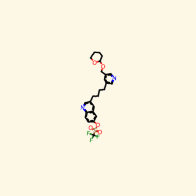 O=S(=O)(Oc1ccc2ncc(CCCCc3cncc(COC4CCCCO4)c3)cc2c1)C(F)(F)F